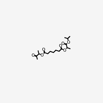 CC(=O)C(C)OC(=O)CCCCCC(=O)OC(C)C(=O)OC(C)C